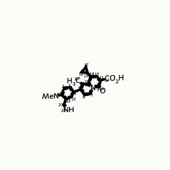 CNc1ccc(-c2ccn3c(=O)c(C(=O)O)cc(C4CC4)c3c2C)cc1C=N